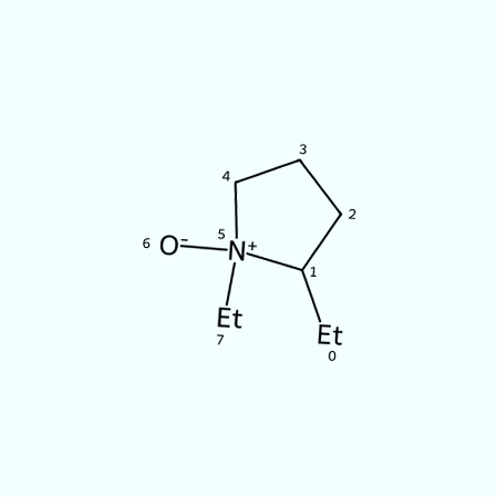 CCC1CCC[N+]1([O-])CC